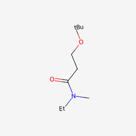 CCN(C)C(=O)CCOC(C)(C)C